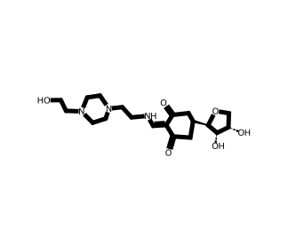 O=C1CC([C@H]2OC[C@H](O)[C@@H]2O)CC(=O)C1=CNCCN1CCN(CCO)CC1